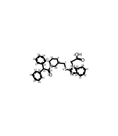 O=C(O)Cn1c(SCC2CCCN(C(=O)C(c3ccccc3)c3ccccc3)C2)nc2ccccc21